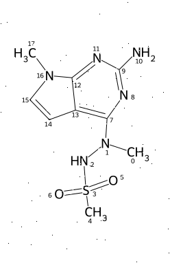 CN(NS(C)(=O)=O)c1nc(N)nc2c1ccn2C